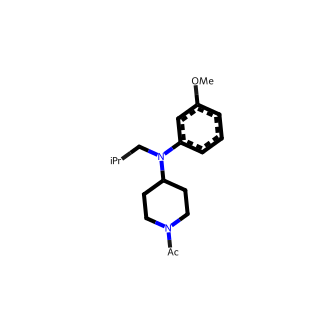 COc1cccc(N(CC(C)C)C2CCN(C(C)=O)CC2)c1